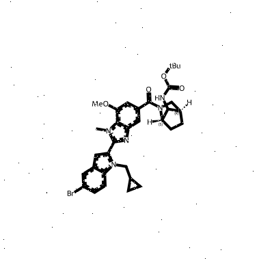 COc1cc(C(=O)N2C[C@H]3CC[C@H]2C3NC(=O)OC(C)(C)C)cc2nc(-c3cc4cc(Br)ccc4n3CC3CC3)n(C)c12